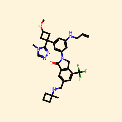 C=CCNc1cc(N2Cc3c(cc(CNC4(C)CCC4)cc3C(F)(F)F)C2=O)cc(C2(c3nncn3C)CC(OC)C2)c1